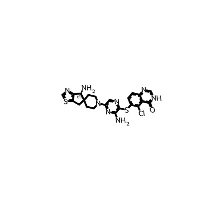 Nc1nc(N2CCC3(CC2)Cc2scnc2[C@H]3N)cnc1Sc1ccc2nc[nH]c(=O)c2c1Cl